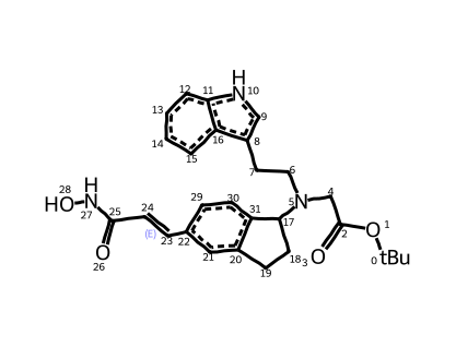 CC(C)(C)OC(=O)CN(CCc1c[nH]c2ccccc12)C1CCc2cc(/C=C/C(=O)NO)ccc21